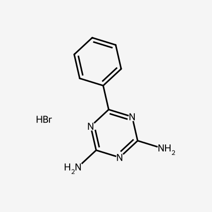 Br.Nc1nc(N)nc(-c2ccccc2)n1